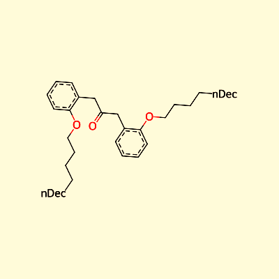 CCCCCCCCCCCCCCOc1ccccc1CC(=O)Cc1ccccc1OCCCCCCCCCCCCCC